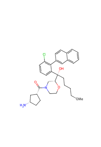 COCCCC[C@](O)(c1cccc(Cl)c1-c1ccc2ccccc2c1)[C@H]1CN(C(=O)[C@@H]2CC[C@H](N)C2)CCO1